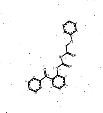 O=C(COc1ccccc1)NC(=S)Nc1ccccc1C(=O)c1ccccc1